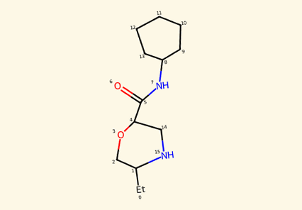 CCC1COC(C(=O)NC2CCCCC2)CN1